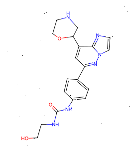 O=C(NCCO)Nc1ccc(-c2cc(C3CNCCO3)c3nccn3n2)cc1